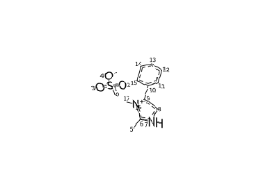 CS(=O)(=O)[O-].Cc1[nH]cc(-c2ccccc2)[n+]1C